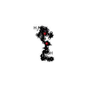 Cc1c(-c2ccc(N3CCc4cccc(C(=O)Nc5nc6ccccc6s5)c4C3)nc2C(=O)O)cnn1CC12CC3(C)CC(C)(C1)CC(OCCN(C)C(=O)OCc1ccc(N(C(=O)[C@@H](NC(=O)[C@@H](CCN4C(=O)C=CC4=O)S(=O)(=O)O)C(C)C)[C@@H](CCCNC(N)=O)C(N)=O)cc1)(C3)C2